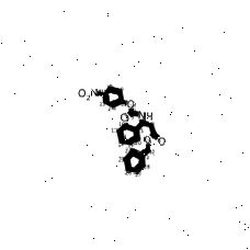 O=C(CC(NC(=O)Oc1ccc([N+](=O)[O-])cc1)c1ccccc1)OCc1ccccc1